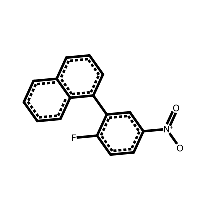 O=[N+]([O-])c1ccc(F)c(-c2cccc3ccccc23)c1